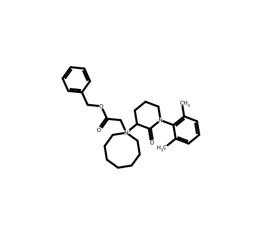 Cc1cccc(C)c1N1CCCC([N+]2(CC(=O)OCc3ccccc3)CCCCCCC2)C1=O